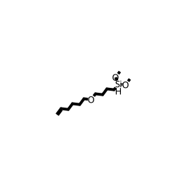 C=CCCCCOCCCC[SiH](OC)OC